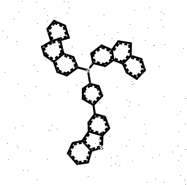 c1ccc2c(c1)ccc1ccc(N(c3ccc(-c4ccc5sc6ccccc6c5c4)cc3)c3ccc4ccc5ccccc5c4c3)cc12